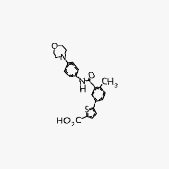 Cc1ccc(-c2ccc(C(=O)O)s2)cc1C(=O)Nc1ccc(N2CCOCC2)cc1